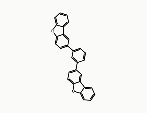 c1cc(-c2ccc3oc4ccccc4c3c2)cc(-c2ccc3oc4ccccc4c3c2)c1